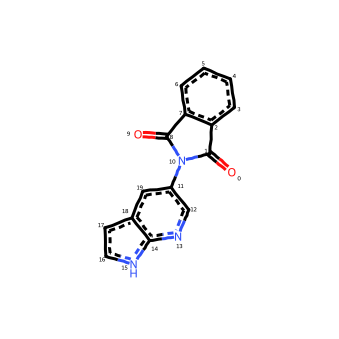 O=C1c2ccccc2C(=O)N1c1cnc2[nH]ccc2c1